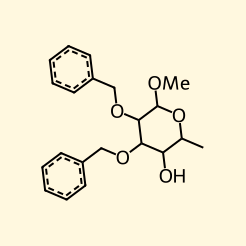 COC1OC(C)C(O)C(OCc2ccccc2)C1OCc1ccccc1